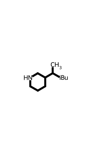 CCC(C)C(C)C1CCCNC1